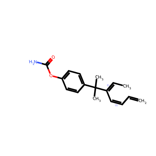 C=C/C=C\C(=C/C)C(C)(C)c1ccc(OC(N)=O)cc1